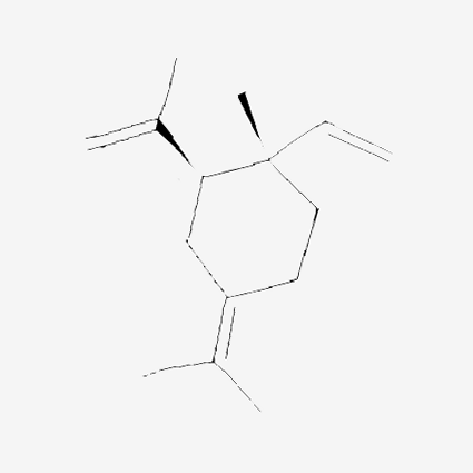 C=C[C@]1(C)CCC(=C(C)C)C[C@H]1C(=C)C